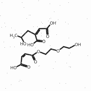 CC(O)C/C(=C/C(=O)O)C(=O)O.O=C(O)/C=C\C(=O)OCCOCCO